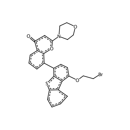 O=c1cc(N2CCOCC2)oc2c(-c3ccc(OCCBr)c4c3sc3ccccc34)cccc12